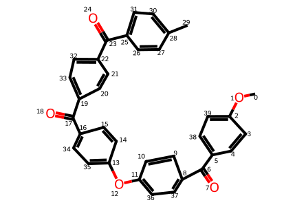 COc1ccc(C(=O)c2ccc(Oc3ccc(C(=O)c4ccc(C(=O)c5ccc(C)cc5)cc4)cc3)cc2)cc1